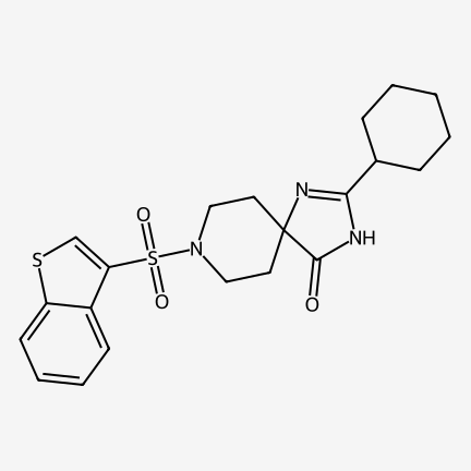 O=C1NC(C2CCCCC2)=NC12CCN(S(=O)(=O)c1csc3ccccc13)CC2